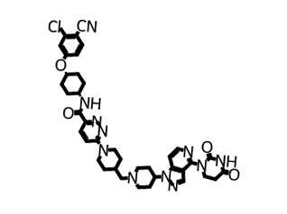 N#Cc1ccc(O[C@H]2CC[C@H](NC(=O)c3ccc(N4CCC(CN5CCC(n6ncc7c(N8CCC(=O)NC8=O)nccc76)CC5)CC4)nn3)CC2)cc1Cl